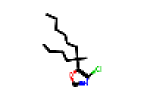 CCCCCCC(C)(CCCC)c1ocnc1Cl